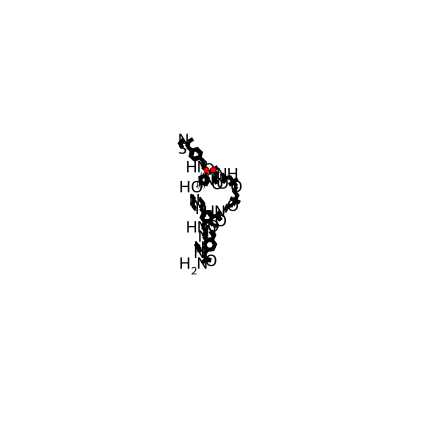 COc1c(Nc2ncc3c(n2)-c2c(c(C(N)=O)nn2C)CC3)cc(N2CCN(C)CC2)cc1C(=O)NCCOC(C)(C)CCOC(C)(C)CC(=O)N[C@H](C(=O)N1C[C@H](O)C[C@H]1C(=O)NCc1ccc(-c2scnc2C)cc1)C(C)(C)C